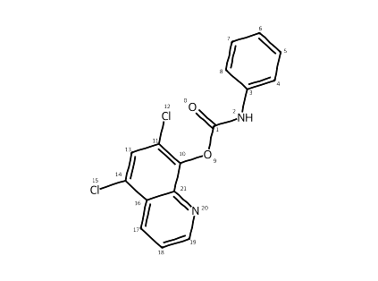 O=C(Nc1ccccc1)Oc1c(Cl)cc(Cl)c2cccnc12